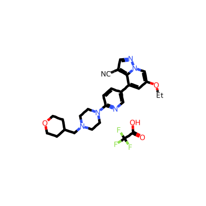 CCOc1cc(-c2ccc(N3CCN(CC4CCOCC4)CC3)nc2)c2c(C#N)cnn2c1.O=C(O)C(F)(F)F